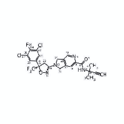 C#CC(C)(C)NC(=O)c1cc2c(cn1)CN(C1=NOC(c3cc(Cl)c(F)c(Cl)c3)(C(F)(F)F)C1)C2